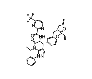 C=CCN(Cc1cccc([C@@H]2c3cnn(-c4ccccc4)c3N(CC)C(=O)[C@H]2NC(=O)c2nccc(C(F)(F)F)n2)c1)S(=O)(=O)C=C